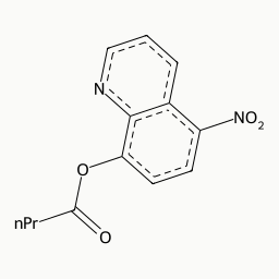 CCCC(=O)Oc1ccc([N+](=O)[O-])c2cccnc12